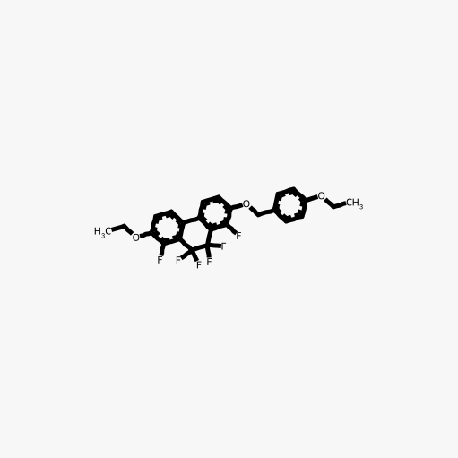 CCOc1ccc(COc2ccc3c(c2F)C(F)(F)C(F)(F)c2c-3ccc(OCC)c2F)cc1